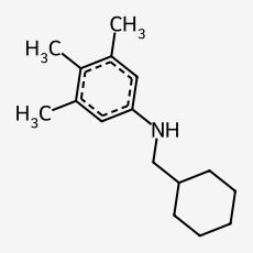 Cc1cc(NCC2CCCCC2)cc(C)c1C